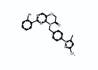 Cc1cc(C(F)(F)F)nn1-c1ccc(CN2C(=O)COc3cnc(-c4ccccc4C(C)C)nc32)cc1